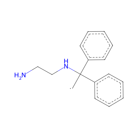 [CH2]C(NCCN)(c1ccccc1)c1ccccc1